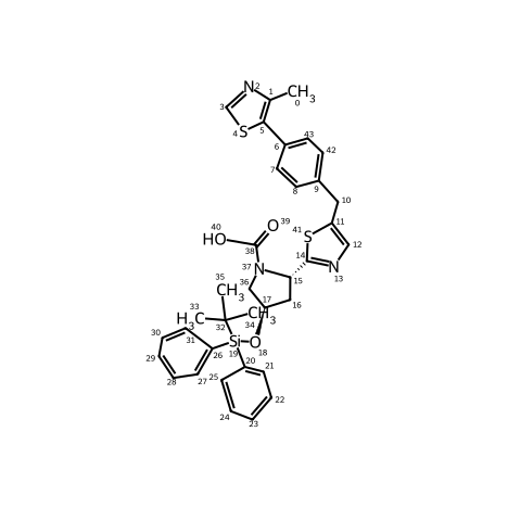 Cc1ncsc1-c1ccc(Cc2cnc([C@@H]3C[C@@H](O[Si](c4ccccc4)(c4ccccc4)C(C)(C)C)CN3C(=O)O)s2)cc1